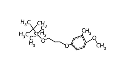 COc1ccc(OCCCO[Si](C)(C)C(C)(C)C)cc1C